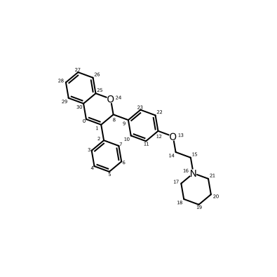 C1=C(c2ccccc2)C(c2ccc(OCCN3CCCCC3)cc2)Oc2ccccc21